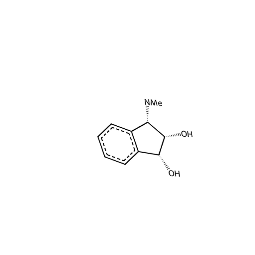 CN[C@H]1c2ccccc2[C@@H](O)[C@H]1O